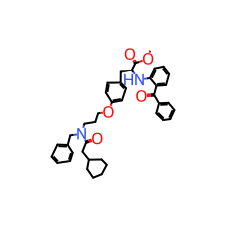 COC(=O)[C@H](Cc1ccc(OCCCN(Cc2ccccc2)C(=O)CC2CCCCC2)cc1)Nc1ccccc1C(=O)c1ccccc1